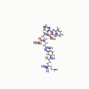 C#CCCC1(CCC(=O)Nc2ccc3[nH]c(CCN(CCc4nc5c(N(Cc6ncccc6F)C(=O)OC(C)(C)C)ncnc5s4)C(=O)OC(C)(C)C)nc3c2)NN1